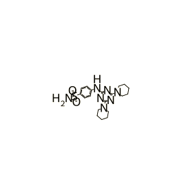 NS(=O)(=O)c1ccc(Nc2nc(N3CCCCC3)nc(N3CCCCC3)n2)cc1